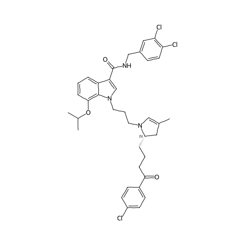 CC1=CN(CCCn2cc(C(=O)NCc3ccc(Cl)c(Cl)c3)c3cccc(OC(C)C)c32)[C@@H](CCCC(=O)c2ccc(Cl)cc2)C1